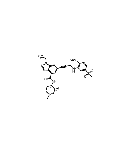 COc1ccc(S(C)(=O)=O)cc1NCC#Cc1cc(C(=O)N[C@@H]2CCN(C)C[C@@H]2F)c2cnn(CC(F)(F)F)c2c1